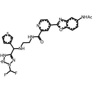 CC(=O)Nc1ccc2oc(-c3ccnc(C(=O)NCCNC(C4=NN(C(F)F)NN4)c4ccsc4)c3)nc2c1